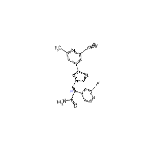 CCCCc1cc(-c2ncn(/C=C(/C(N)=O)c3ccnc(F)c3)n2)cc(C(F)(F)F)n1